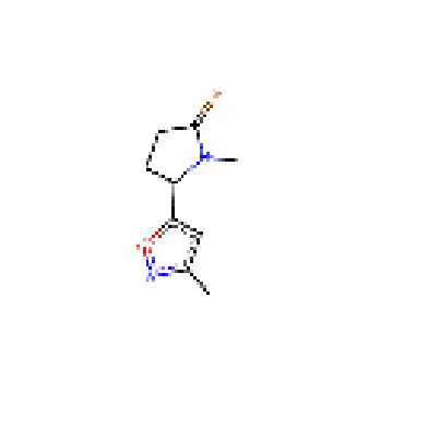 Cc1cc(C2CCC(=S)N2C)on1